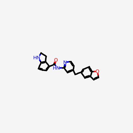 O=C(Nc1cc(Cc2ccc3occc3c2)ccn1)c1cccc2c1CCN2